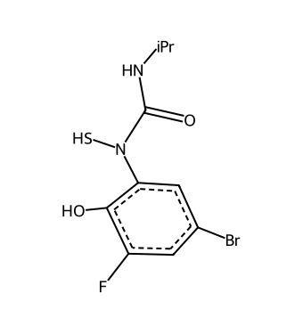 CC(C)NC(=O)N(S)c1cc(Br)cc(F)c1O